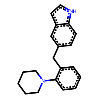 c1ccc(N2CCCCC2)c(Cc2ccc3[nH]ccc3c2)c1